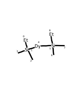 CC[Si](C)(C)[Dy][Si](C)(C)CC